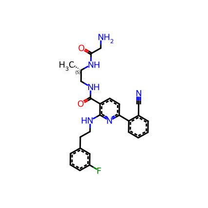 C[C@@H](CNC(=O)c1ccc(-c2ccccc2C#N)nc1NCCc1cccc(F)c1)NC(=O)CN